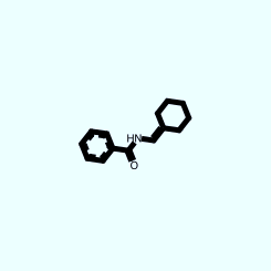 O=C(NC=C1[CH]CCCC1)c1ccccc1